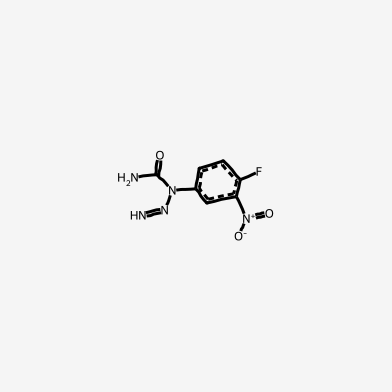 N=NN(C(N)=O)c1ccc(F)c([N+](=O)[O-])c1